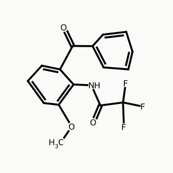 COc1cccc(C(=O)c2ccccc2)c1NC(=O)C(F)(F)F